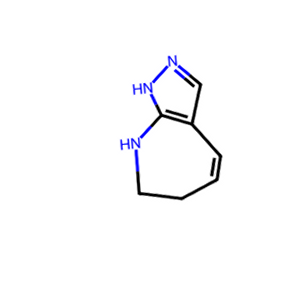 C1=Cc2cn[nH]c2NCC1